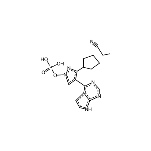 CCC#N.O=P(O)(O)On1cc(-c2ncnc3[nH]ccc23)c(C2CCCC2)n1